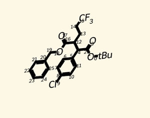 CC(C)(C)OC(=O)C(c1ccc(Cl)cc1)C(CCC(F)(F)F)C(=O)OCc1ccccc1